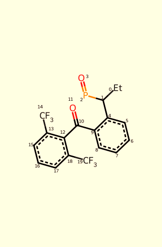 CCC(P=O)c1ccccc1C(=O)c1c(C(F)(F)F)cccc1C(F)(F)F